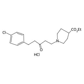 CCOC(=O)C1CCN(CCC(=O)CCc2ccc(Cl)cc2)CC1.Cl